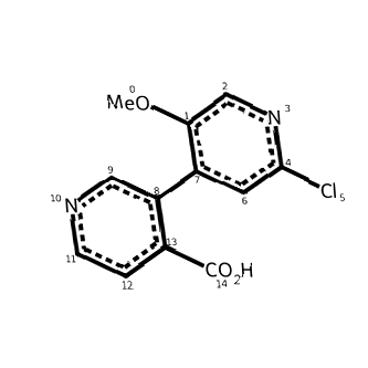 COc1cnc(Cl)cc1-c1cnccc1C(=O)O